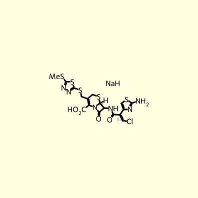 CSc1nnc(SCC2=C(C(=O)O)N3C(=O)C(NC(=O)/C(=C/Cl)c4csc(N)n4)[C@H]3SC2)s1.[NaH]